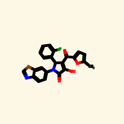 Cc1ccc(C(=O)C2=C(O)C(=O)N(c3ccc4ncsc4c3)C2c2ccccc2F)o1